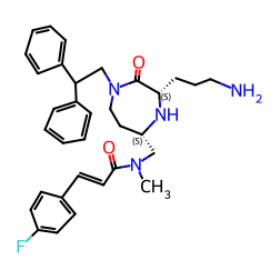 CN(C[C@@H]1CCN(CC(c2ccccc2)c2ccccc2)C(=O)[C@H](CCCN)N1)C(=O)C=Cc1ccc(F)cc1